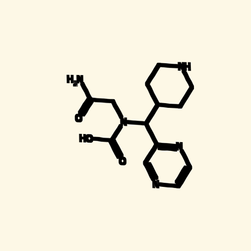 NC(=O)CN(C(=O)O)C(c1cnccn1)C1CCNCC1